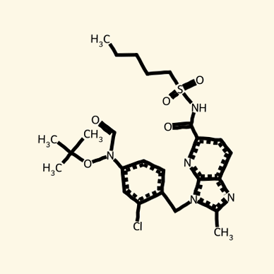 CCCCCS(=O)(=O)NC(=O)c1ccc2nc(C)n(Cc3ccc(N(C=O)OC(C)(C)C)cc3Cl)c2n1